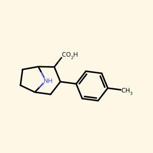 Cc1ccc(C2CC3CCC(N3)C2C(=O)O)cc1